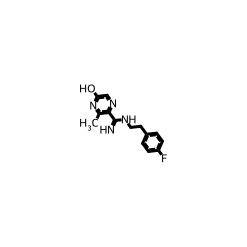 Cc1nc(O)cnc1C(=N)NCCc1ccc(F)cc1